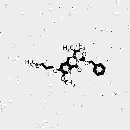 COCCCOc1cc(C[C@H](NC(=O)OCc2ccccc2)C(C)C)c(C=O)nc1OC